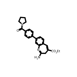 CCOC(=O)C1=Cc2ccc(-c3ccc(C(=O)N4CCCC4)cc3)cc2N=C(N)C1